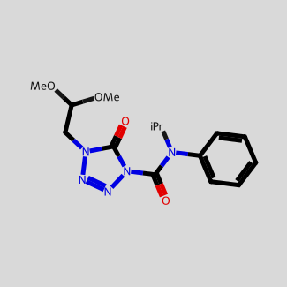 COC(Cn1nnn(C(=O)N(c2ccccc2)C(C)C)c1=O)OC